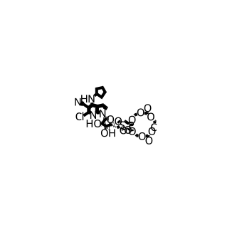 N#Cc1c(Cl)nc2c(ccn2[C@@H]2O[C@H](CS(=O)(=O)CP3(=O)OCOC(=O)OCCOC(=O)OCO3)[C@@H](O)[C@H]2O)c1NC1CCCC1